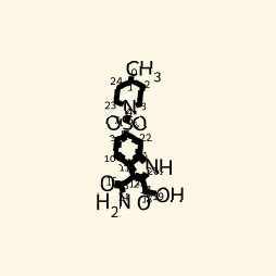 CC1CCN(S(=O)(=O)c2ccc3c(C(N)=O)c(C(=O)O)[nH]c3c2)CC1